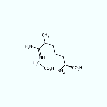 CC(=O)O.CN(CCC[C@H](N)C(=O)O)C(=N)N